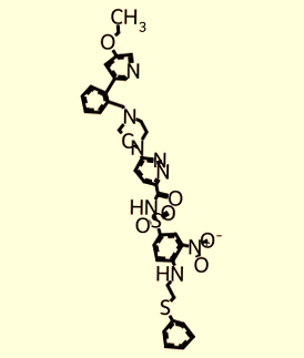 CCOc1cncc(-c2ccccc2CN2CCN(c3ccc(C(=O)NS(=O)(=O)c4ccc(NCCSc5ccccc5)c([N+](=O)[O-])c4)nn3)CC2)c1